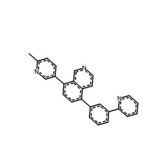 Cc1ccc(-c2ccc(-c3cccc(-c4ccccn4)c3)c3ccncc23)cn1